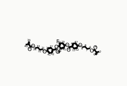 C=C(C)C(=O)OCCCCOc1ccc(C(=O)Oc2cc(F)c(OC(=O)c3ccc(OCCCCOC(=O)C(=C)C)cc3)c(F)c2)cc1